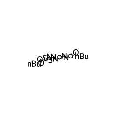 CCCCOC(=O)c1cc2sc(N=Nc3ccc(N=Nc4ccc(C(=O)CCCC)cc4)cc3)nc2s1